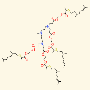 CC(C)=CCCC(C)CCSC(C)C(=O)OCCOC(=O)CCN(CCCN(C)CCCN(CCC(=O)OCCOC(=O)C(C)SCCC(C)CCC=C(C)C)CCC(=O)OCCOC(=O)C(C)SCCC(C)CCC=C(C)C)CCC(=O)OCCOC(=O)C(C)SCCC(C)CCC=C(C)C